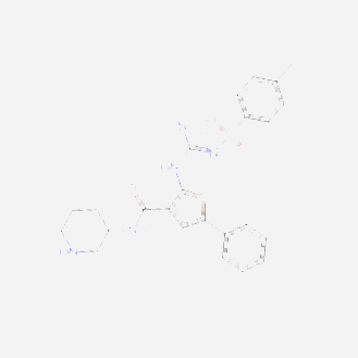 Cc1ccc(S(=O)(=O)/N=C(\N)Nc2sc(-c3ccccc3)cc2C(=O)N[C@H]2CCCNC2)cc1